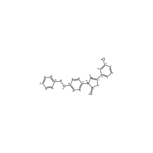 O=C1CC(c2cccc(Cl)c2)=NN1c1ccc(OCc2ccccc2)cc1